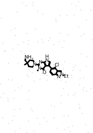 CCn1cc2c(Cl)c(-c3c[nH]c4nc(N5CCC(C)(CN)CC5)n(C)c(=O)c34)ccc2n1